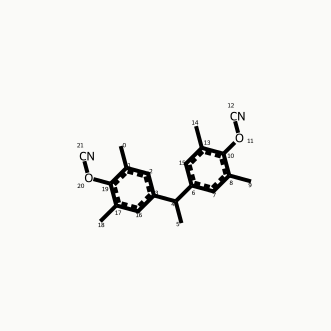 Cc1cc(C(C)c2cc(C)c(OC#N)c(C)c2)cc(C)c1OC#N